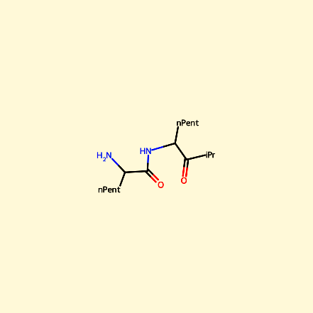 CCCCCC(N)C(=O)NC(CCCCC)C(=O)C(C)C